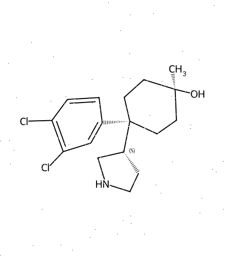 C[C@]1(O)CC[C@@](c2ccc(Cl)c(Cl)c2)([C@@H]2CCNC2)CC1